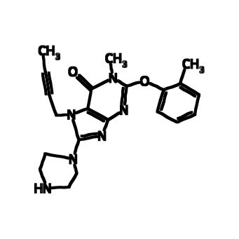 CC#CCn1c(N2CCNCC2)nc2nc(Oc3ccccc3C)n(C)c(=O)c21